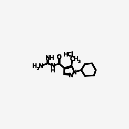 Cc1c(C(=O)NC(=N)N)cnn1C1CCCCC1.Cl